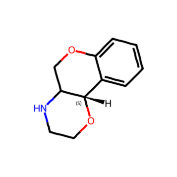 c1ccc2c(c1)OCC1NCCO[C@@H]21